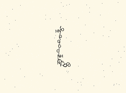 C=CC(=O)NCCOCCOCCOCCOCCNC[C@H]1C[C@@H](Cc2c(F)ccc3c2CCO3)CN(C)C1